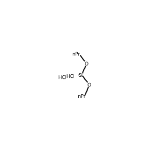 CCCO[Si]OCCC.Cl.Cl